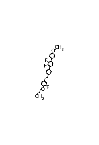 C=CCCOc1ccc(CCc2ccc(-c3ccc(-c4ccc(OCC)cc4)c(F)c3F)cc2)cc1F